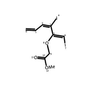 C=C/C=C(I)\C(=C\I)OCC(=O)OC